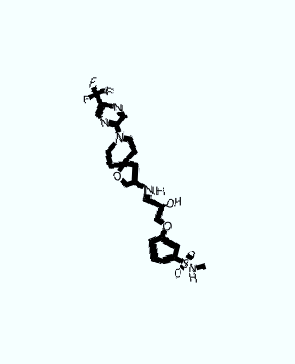 CNS(=O)(=O)c1cccc(OC[C@@H](O)CNC2COC3(CCN(c4cnc(C(F)(F)F)cn4)CC3)C2)c1